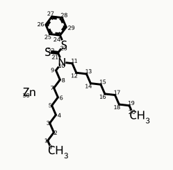 CCCCCCCCCCN(CCCCCCCCCC)C(=S)Sc1ccccc1.[Zn]